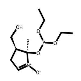 CCOP(OCC)O[C@]1(C)[C@H](CO)CC=[N+]1[O-]